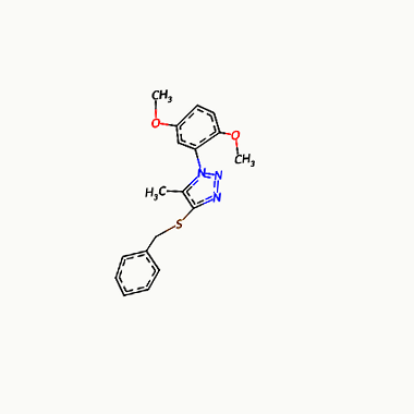 COc1ccc(OC)c(-n2nnc(SCc3ccccc3)c2C)c1